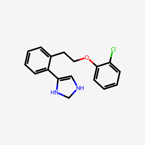 Clc1ccccc1OCCc1ccccc1C1=CNCN1